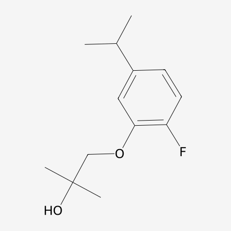 CC(C)c1ccc(F)c(OCC(C)(C)O)c1